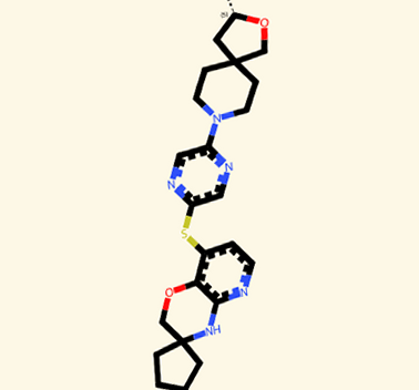 C[C@H]1CC2(CCN(c3cnc(Sc4ccnc5c4OCC4(CCCC4)N5)cn3)CC2)CO1